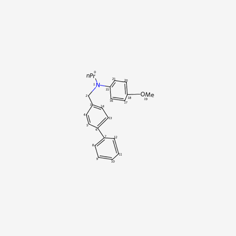 CCCN(Cc1ccc(-c2ccccc2)cc1)c1ccc(OC)cc1